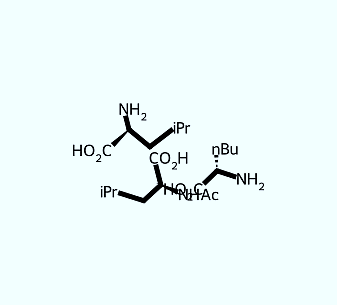 CC(=O)N[C@@H](CC(C)C)C(=O)O.CC(C)C[C@H](N)C(=O)O.CCCC[C@H](N)C(=O)O